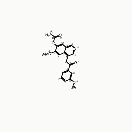 COc1cc2c([CH]C(=O)c3cccc(OC(C)C)c3)cncc2cc1OC(N)=O